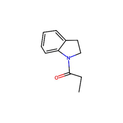 CCC(=O)N1CCc2ccccc21